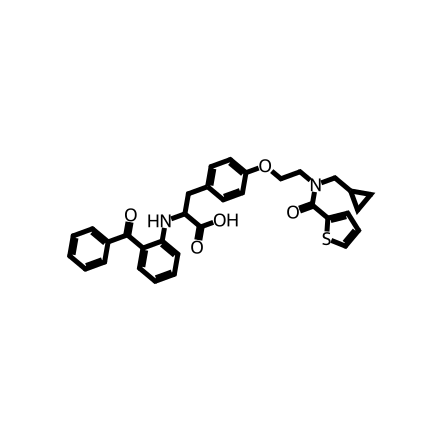 O=C(c1ccccc1)c1ccccc1NC(Cc1ccc(OCCN(CC2CC2)C(=O)c2cccs2)cc1)C(=O)O